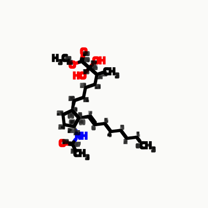 CCCCCCC=C[C@@H]1[C@H](CCCCC(C)C(O)(O)C(=O)OC)CC[C@H]1NC(C)=O